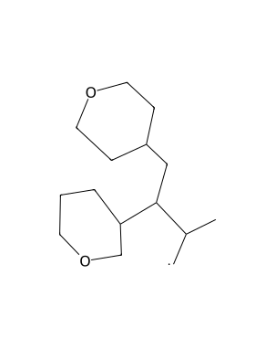 [CH2]C(C)C(CC1CCOCC1)C1CCCOC1